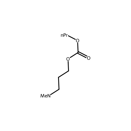 CCCOC(=O)OCCCNC